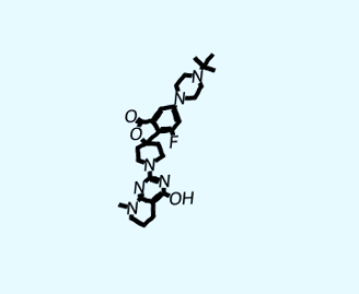 CN1CCCc2c(O)nc(N3CCC4(CC3)OC(=O)c3cc(N5CCN(C(C)(C)C)CC5)cc(F)c34)nc21